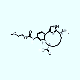 COCCOC(=O)Nc1ccc2c(c1)N[C@@H](C(=O)O)CCCC[C@H](N)c1nc-2c[nH]1